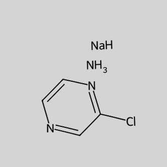 Clc1cnccn1.N.[NaH]